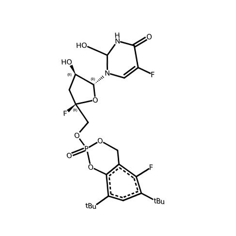 CC(C)(C)c1cc(C(C)(C)C)c2c(c1F)COP(=O)(OC[C@]1(F)C[C@@H](O)[C@H](N3C=C(F)C(=O)NC3O)O1)O2